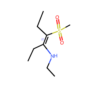 CCN/C(CC)=C(/CC)S(C)(=O)=O